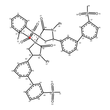 CCS(=O)(=O)[N+]1([N+]2(S(=O)(=O)c3ccccc3F)CC(c3cccc(-c4cccc(S(C)(=O)=O)c4)c3)N(C(C)C)C2=O)CC(c2cccc(-c3cccc(S(C)(=O)=O)c3)c2)N(C(C)C)C1=O